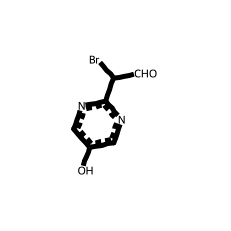 O=CC(Br)c1ncc(O)cn1